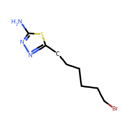 Nc1nnc(CCCCCCBr)s1